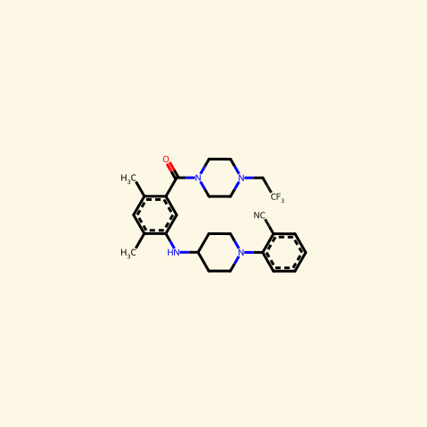 Cc1cc(C)c(C(=O)N2CCN(CC(F)(F)F)CC2)cc1NC1CCN(c2ccccc2C#N)CC1